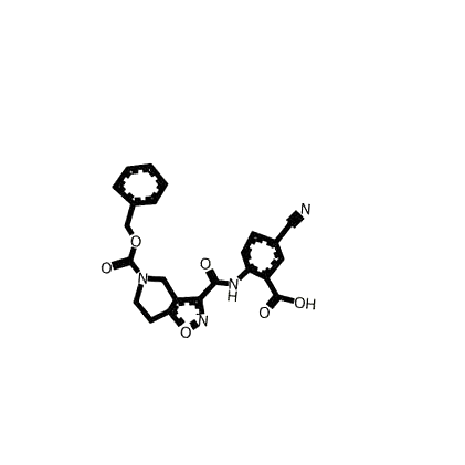 N#Cc1ccc(NC(=O)c2noc3c2CN(C(=O)OCc2ccccc2)CC3)c(C(=O)O)c1